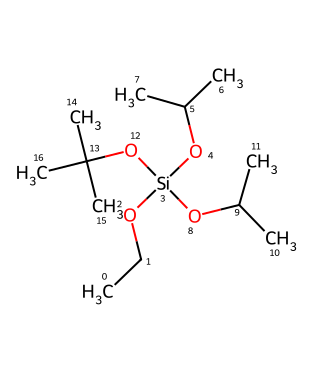 CCO[Si](OC(C)C)(OC(C)C)OC(C)(C)C